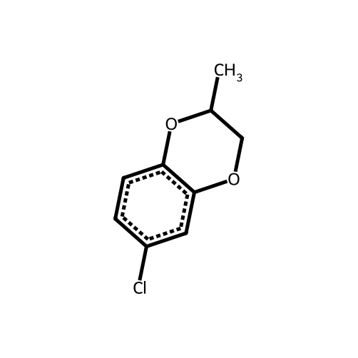 CC1COc2cc(Cl)ccc2O1